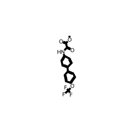 COC(=O)C(=O)Nc1ccc(-c2ccc(OC(F)(F)F)cc2)cc1